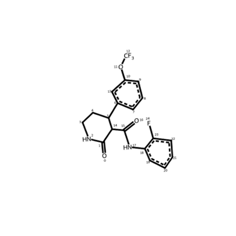 O=C1NCCC(c2cccc(OC(F)(F)F)c2)C1C(=O)Nc1ccccc1F